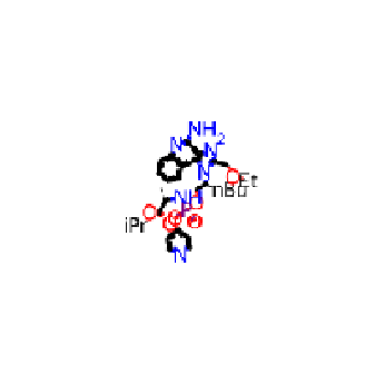 CCCC[C@@H](CO[P@](=O)(N[C@@H](C)C(=O)OC(C)C)Oc1ccncc1)n1c(COCC)nc2c(N)nc3ccccc3c21